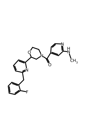 CNc1cc(C(=O)N2CCOC(c3cccc(Cc4ccccc4F)n3)C2)ccn1